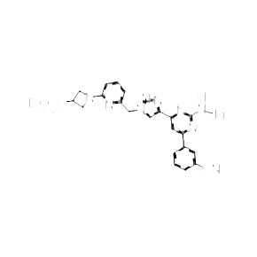 CC(C)Nc1nc(-c2cccc(C#N)c2)cc(-c2cn(Cc3cccc(N4CC(C(=O)O)C4)n3)nn2)n1